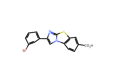 O=C(O)c1ccc2c(c1)sc1nc(-c3cccc(Br)c3)cn12